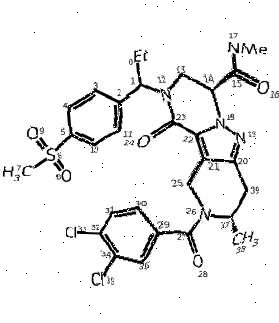 CCC(c1ccc(S(C)(=O)=O)cc1)N1C[C@@H](C(=O)NC)n2nc3c(c2C1=O)CN(C(=O)c1ccc(Cl)c(Cl)c1)[C@H](C)C3